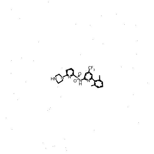 Cc1cccc(C)c1-c1cc(C(F)(F)F)cc(NS(=O)(=O)c2cccc(N3CCNCC3)n2)n1